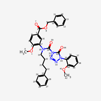 COc1ccc(C(=O)OCc2ccccc2)cc1N(CCCCc1ccccc1)C(=O)n1nnn(-c2ccccc2OC)c1=O